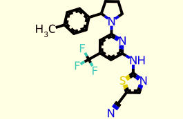 Cc1ccc(C2CCCN2c2cc(C(F)(F)F)cc(Nc3ncc(C#N)s3)n2)cc1